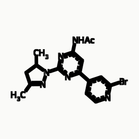 CC(=O)Nc1cc(-c2ccnc(Br)c2)nc(N2N=C(C)CC2C)n1